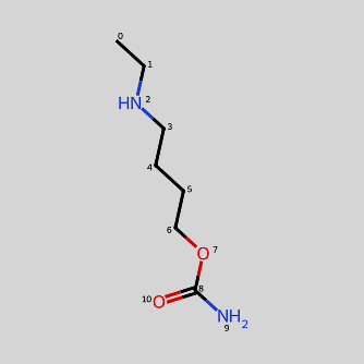 CCNCCCCOC(N)=O